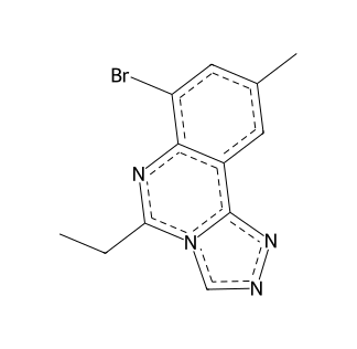 CCc1nc2c(Br)cc(C)cc2c2nncn12